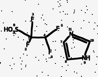 O=S(=O)(O)C(F)(F)C(F)F.c1c[nH]cn1